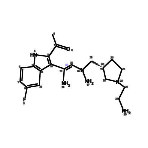 CC(=O)c1[nH]c2ccc(F)cc2c1/C(N)=C/N(N)C[C@@H]1CCN(CCN)C1